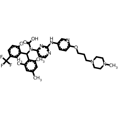 Cc1cc(C)c(C(c2cc(C(F)(F)F)ccc2Cl)N(C(=O)O)c2ccnc(Nc3ccc(OCCCN4CCN(C)CC4)nc3)n2)c(C)c1